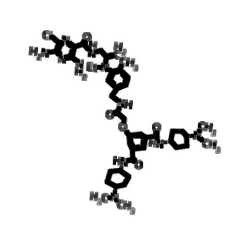 C=C(CNC(=O)c1nc(Cl)c(N)nc1N)N(CC)c1cc(CNC(=O)COc2cc(C(=O)N[C@H]3CC[C@H](N(C)C)CC3)cc(C(=O)N[C@H]3CC[C@H](N(C)C)CC3)c2)ccc1C